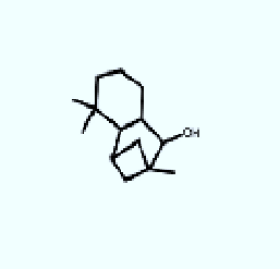 CC1(C)CCCC2C1C1CC(C)(C1)C2O